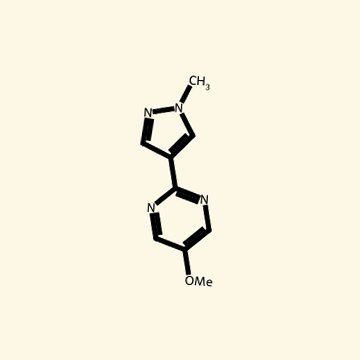 COc1cnc(-c2cnn(C)c2)nc1